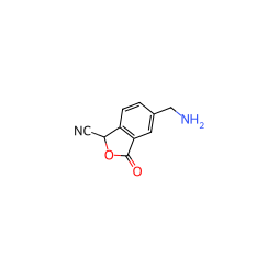 N#CC1OC(=O)c2cc(CN)ccc21